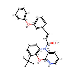 CC(C)(C)c1ccccc1Oc1ncccc1NC(=O)C=Cc1cccc(Oc2ccccc2)c1